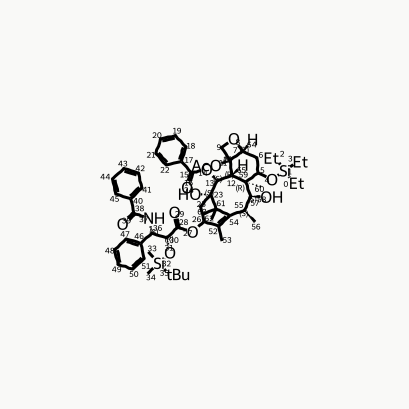 CC[Si](CC)(CC)OC1C[C@H]2OC[C@@]2(OC(C)=O)[C@H]2[C@H](OC(=O)c3ccccc3)[C@]3(O)CC(OC(=O)[C@H](O[Si](C)(C)C(C)(C)C)[C@@H](NC(=O)c4ccccc4)c4ccccc4)C(C)=C([C@H](C)[C@H](O)[C@]12C)C3(C)C